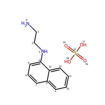 NCCNc1cccc2ccccc12.O=S(=O)(O)O